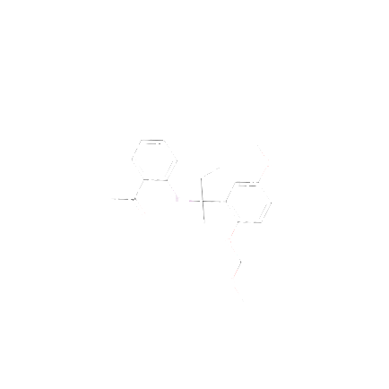 CCC(C)(Pc1ccccc1C(C)=O)c1cc(OC)ccc1OCOC